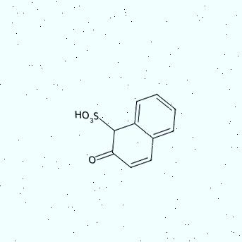 O=C1C=Cc2ccccc2C1S(=O)(=O)O